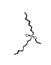 CCCCCCCC[Si](Cl)(CCCCCCCC)OCC